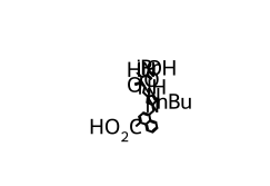 CCCCc1nc(CNC(=O)C(CC(C)C)C(=O)NO)cn1Cc1ccc(C(=O)O)c2ccccc12